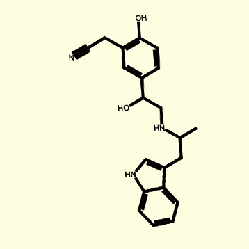 CC(Cc1c[nH]c2ccccc12)NCC(O)c1ccc(O)c(CC#N)c1